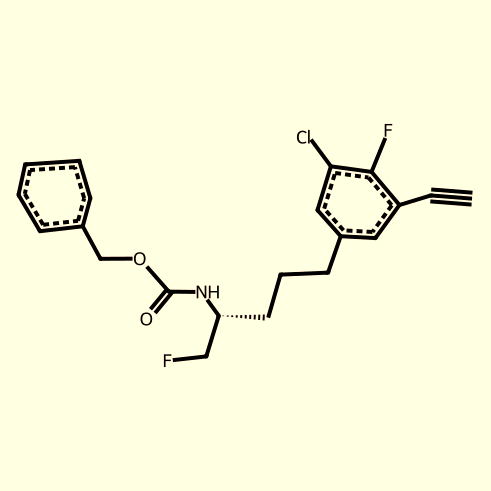 C#Cc1cc(CCC[C@H](CF)NC(=O)OCc2ccccc2)cc(Cl)c1F